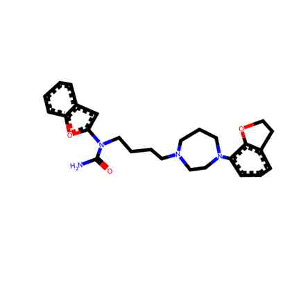 NC(=O)N(CCCCN1CCCN(c2cccc3c2OCC3)CC1)c1cc2ccccc2o1